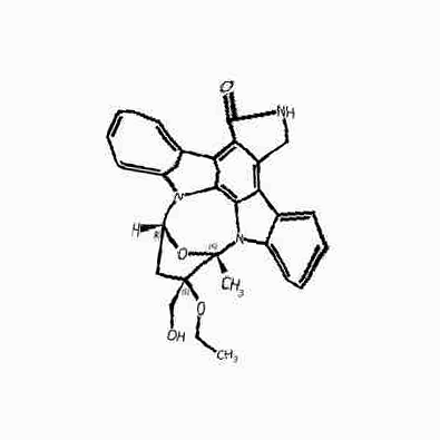 CCO[C@]1(CO)C[C@H]2O[C@]1(C)n1c3ccccc3c3c4c(c5c6ccccc6n2c5c31)C(=O)NC4